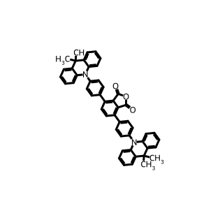 CC1(C)c2ccccc2N(c2ccc(-c3ccc(-c4ccc(N5c6ccccc6C(C)(C)c6ccccc65)cc4)c4c3C(=O)OC4=O)cc2)c2ccccc21